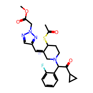 COC(=O)Cn1ncc(/C=C2/CN(C(C(=O)C3CC3)c3ccccc3F)CCC2SC(C)=O)n1